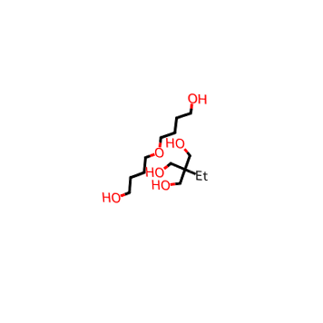 CCC(CO)(CO)CO.OCCCCOCCCCO